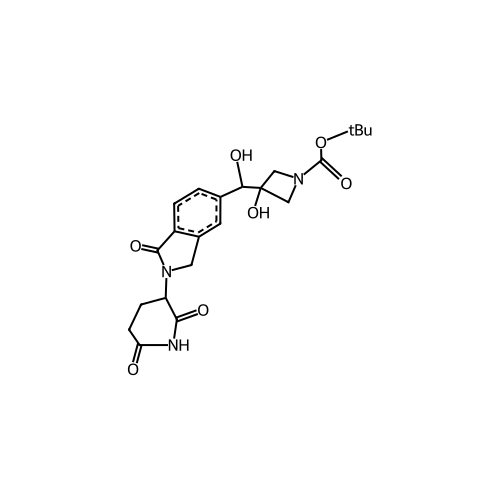 CC(C)(C)OC(=O)N1CC(O)(C(O)c2ccc3c(c2)CN(C2CCC(=O)NC2=O)C3=O)C1